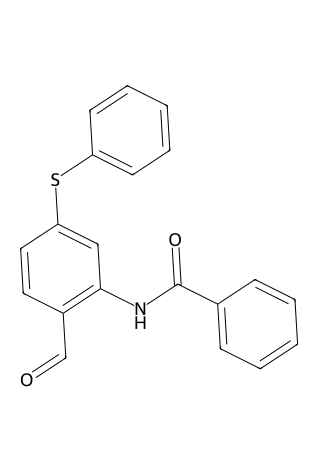 O=Cc1ccc(Sc2ccccc2)cc1NC(=O)c1ccccc1